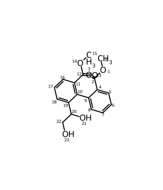 COC(=O)c1ccccc1-c1c(C(=O)OC)cccc1C(O)CO